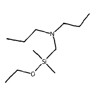 CCCN(CCC)C[Si](C)(C)OCC